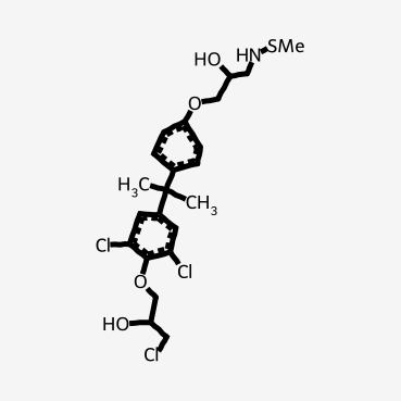 CSNCC(O)COc1ccc(C(C)(C)c2cc(Cl)c(OCC(O)CCl)c(Cl)c2)cc1